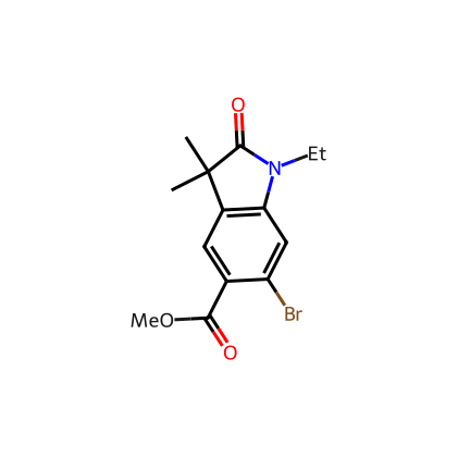 CCN1C(=O)C(C)(C)c2cc(C(=O)OC)c(Br)cc21